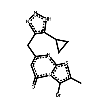 Cc1sc2nc(Cc3nn[nH]c3C3CC3)cc(=O)n2c1Br